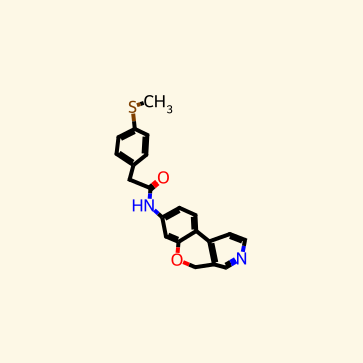 CSc1ccc(CC(=O)Nc2ccc3c(c2)OCc2cnccc2-3)cc1